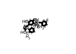 Cc1ccccc1-n1c(O)nnc1-c1cc(S(=O)(=O)N(C)Cc2cccc(F)c2)c(O)cc1O